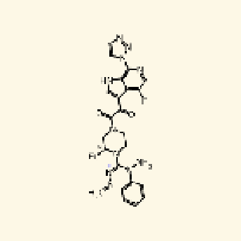 C=N/N=C(\N(N)c1ccccc1)N1CCN(C(=O)C(=O)c2c[nH]c3c(-n4ccnn4)ncc(F)c23)C[C@@H]1CC